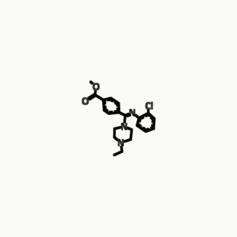 CCN1CCN(/C(=N\c2ccccc2Cl)c2ccc(C(=O)OC)cc2)CC1